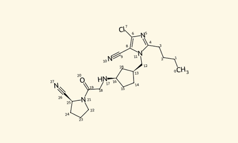 CCCCc1nc(Cl)c(C#N)n1C[C@H]1CC[C@@H](NCC(=O)N2CCC[C@H]2C#N)C1